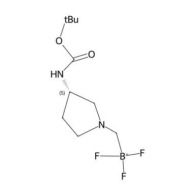 CC(C)(C)OC(=O)N[C@H]1CCN(C[B-](F)(F)F)C1